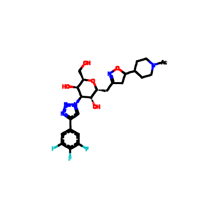 CC(=O)N1CCC(C2CC(C[C@H]3O[C@H](CO)[C@H](O)[C@H](n4cc(-c5cc(F)c(F)c(F)c5)nn4)[C@H]3O)=NO2)CC1